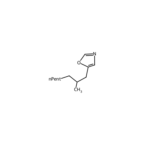 CCCCCCC(C)Cc1cnco1